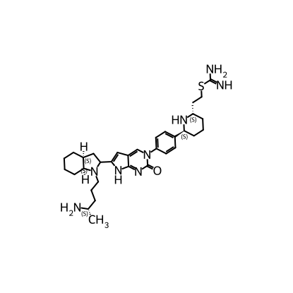 C[C@H](N)CCCN1C(c2cc3cn(-c4ccc([C@@H]5CCC[C@@H](CCSC(=N)N)N5)cc4)c(=O)nc3[nH]2)C[C@@H]2CCCC[C@@H]21